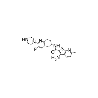 Cc1ccc2c(N)c(C(=O)NC3CCc4nc(N5CCNCC5)c(F)cc4C3)sc2n1